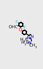 CN(C)Cc1ncc(-c2ccc(Oc3c(F)ccc(F)c3C=O)cc2)n1C